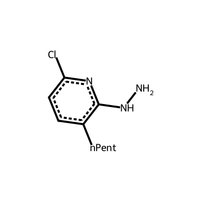 CCCCCc1ccc(Cl)nc1NN